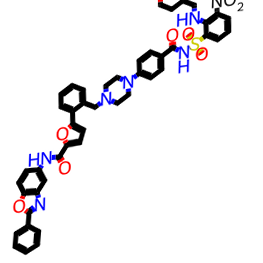 O=C(NS(=O)(=O)c1cccc([N+](=O)[O-])c1NCC1CCOCC1)c1ccc(N2CCN(Cc3ccccc3-c3ccc(C(=O)Nc4ccc5oc(-c6ccccc6)nc5c4)o3)CC2)cc1